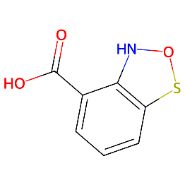 O=C(O)c1cccc2c1NOS2